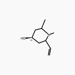 C=CC1C[C@@H](O)CC(C)N1C